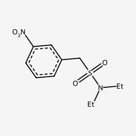 CCN(CC)S(=O)(=O)Cc1cccc([N+](=O)[O-])c1